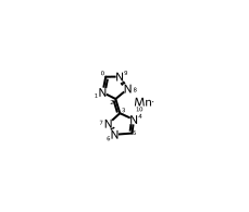 C1=NC(=C2N=CN=N2)N=N1.[Mn]